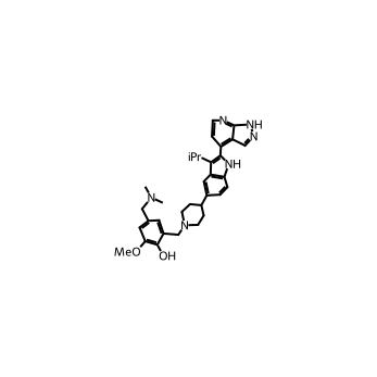 COc1cc(CN(C)C)cc(CN2CCC(c3ccc4[nH]c(-c5ccnc6[nH]ncc56)c(C(C)C)c4c3)CC2)c1O